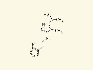 CN(C)c1nnc(NCCc2ccc[nH]2)n1C